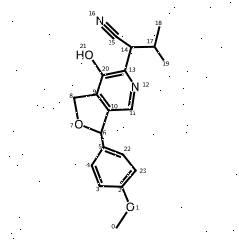 COc1ccc(C2OCc3c2cnc(C(C#N)C(C)C)c3O)cc1